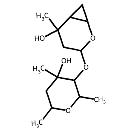 CC1CC(C)(O)C(OC2CC(C)(O)C3CC3O2)C(C)O1